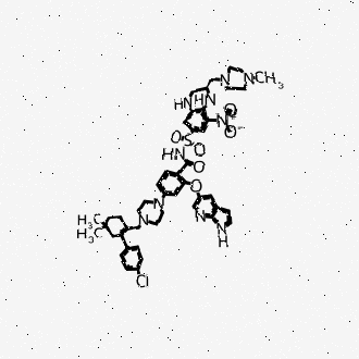 CN1CCN(C[C@@H]2CNc3cc(S(=O)(=O)NC(=O)c4ccc(N5CCN(CC6=C(c7ccc(Cl)cc7)CC(C)(C)CC6)CC5)cc4Oc4cnc5[nH]ccc5c4)cc([N+](=O)[O-])c3N2)CC1